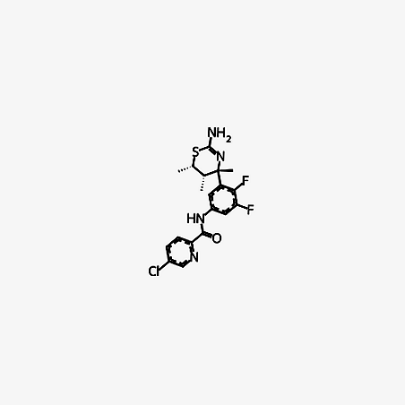 C[C@@H]1SC(N)=N[C@](C)(c2cc(NC(=O)c3ccc(Cl)cn3)cc(F)c2F)[C@@H]1C